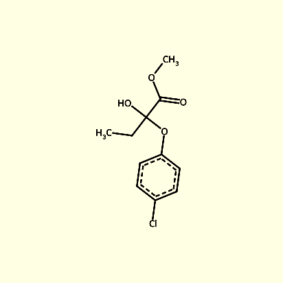 CCC(O)(Oc1ccc(Cl)cc1)C(=O)OC